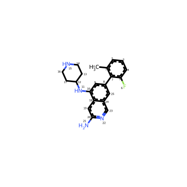 Cc1cccc(F)c1-c1cc(NC2CCNCC2)c2cc(N)ncc2c1